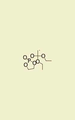 [CH2]C(OCC)(OCC)OP1(=O)OCCO1